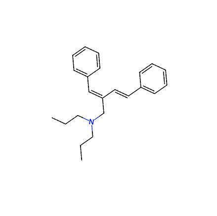 CCCN(CCC)CC(C=Cc1ccccc1)=Cc1ccccc1